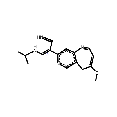 COC1=CC=Nc2cc(/C(C=N)=C/NC(C)C)ncc2C1